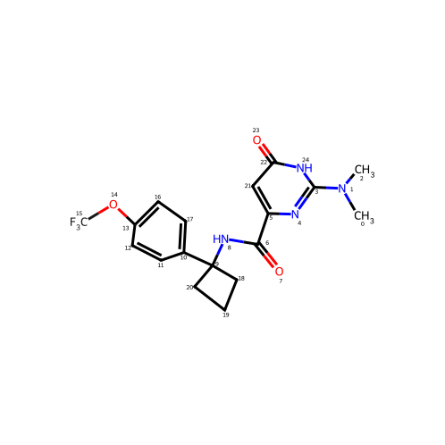 CN(C)c1nc(C(=O)NC2(c3ccc(OC(F)(F)F)cc3)CCC2)cc(=O)[nH]1